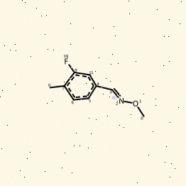 CO/N=C/c1ccc(C)c(F)c1